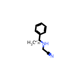 C[C@@H](NCC#N)c1ccccc1